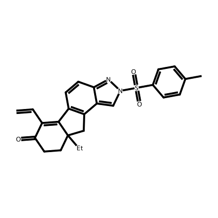 C=CC1=C2c3ccc4nn(S(=O)(=O)c5ccc(C)cc5)cc4c3CC2(CC)CCC1=O